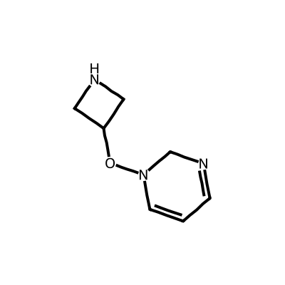 C1=CN(OC2CNC2)CN=C1